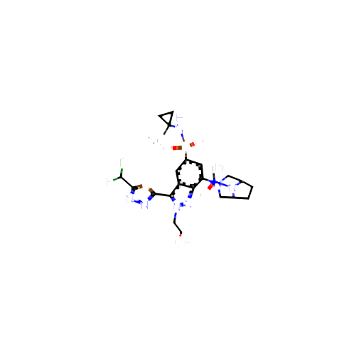 CC(C)C(=O)N1C2CCC1CN(c1cc(S(=O)(=O)NC3(C#N)CC3)cc3c(-c4nnc(C(F)F)s4)n(CCO)nc13)C2